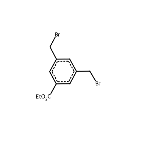 CCOC(=O)c1cc(CBr)cc(CBr)c1